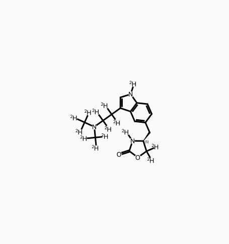 [2H]N1C(=O)OC([2H])([2H])[C@@H]1Cc1ccc2c(c1)c(C([2H])([2H])C([2H])([2H])N(C([2H])([2H])[2H])C([2H])([2H])[2H])cn2[2H]